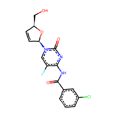 O=C(Nc1nc(=O)n([C@H]2C=C[C@@H](CO)O2)cc1F)c1cccc(Cl)c1